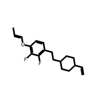 C=CC1CCC(CCc2ccc(O/C=C/C)c(F)c2F)CC1